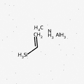 C.C=C[SiH3].N.[AlH3]